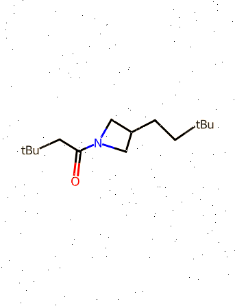 CC(C)(C)CCC1CN(C(=O)CC(C)(C)C)C1